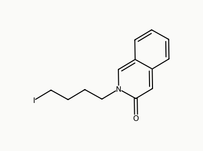 O=c1cc2ccccc2cn1CCCCI